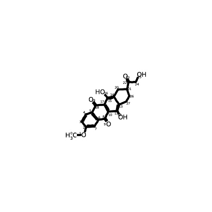 COc1ccc2c(c1)C(=O)c1c(O)c3c(c(O)c1C2=O)CC(C(=O)CO)CC3